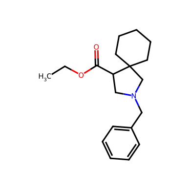 CCOC(=O)C1CN(Cc2ccccc2)CC12CCCCC2